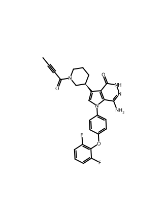 CC#CC(=O)N1CCC[C@@H](c2cn(-c3ccc(Oc4c(F)cccc4F)cc3)c3c(N)n[nH]c(=O)c23)C1